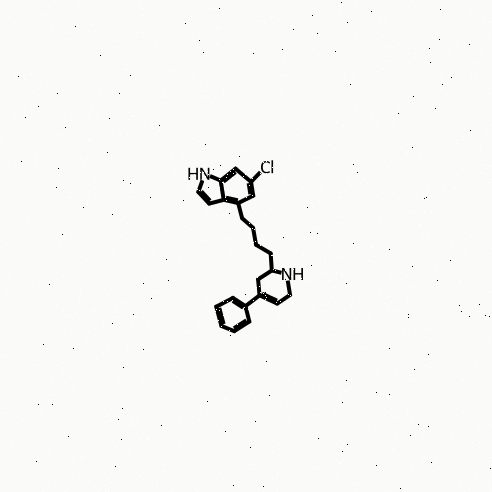 Clc1cc(CCCCC2CC(c3ccccc3)=CCN2)c2cc[nH]c2c1